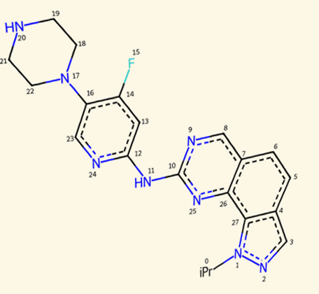 CC(C)n1ncc2ccc3cnc(Nc4cc(F)c(N5CCNCC5)cn4)nc3c21